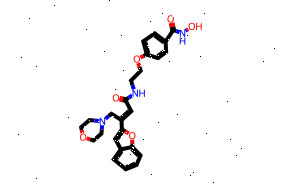 O=C(C=C(CN1CCOCC1)c1cc2ccccc2o1)NCCOc1ccc(C(=O)NO)cc1